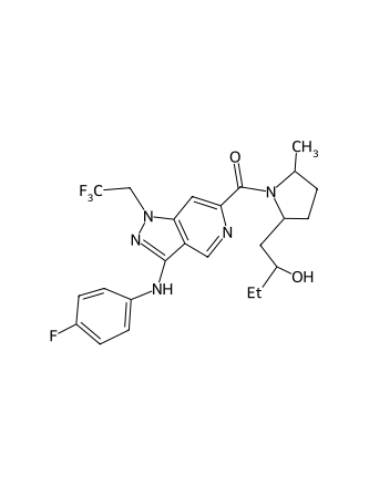 CCC(O)CC1CCC(C)N1C(=O)c1cc2c(cn1)c(Nc1ccc(F)cc1)nn2CC(F)(F)F